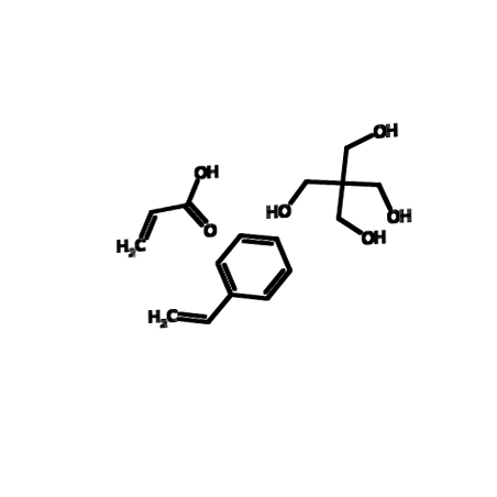 C=CC(=O)O.C=Cc1ccccc1.OCC(CO)(CO)CO